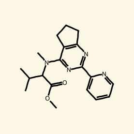 COC(=O)C(C(C)C)N(C)c1nc(-c2ccccn2)nc2c1CCC2